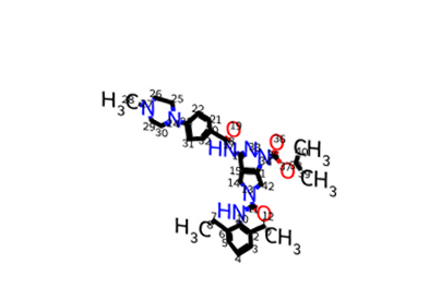 CCc1cccc(CC)c1NC(=O)N1Cc2c(NC(=O)c3ccc(N4CCN(C)CC4)cc3)nn(C(=O)OC(C)C)c2C1